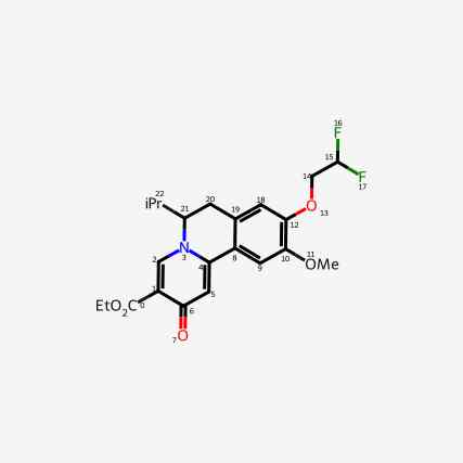 CCOC(=O)c1cn2c(cc1=O)-c1cc(OC)c(OCC(F)F)cc1CC2C(C)C